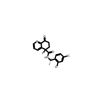 C[C@H](NC(=O)C1(F)CCC(=O)c2ncccc21)c1ccc(Cl)cc1Cl